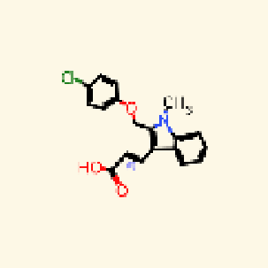 Cn1c(COc2ccc(Cl)cc2)c(/C=C/C(=O)O)c2ccccc21